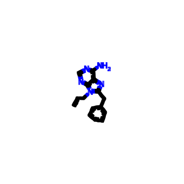 C=CCn1c(Cc2ccccc2)nc2c(N)ncnc21